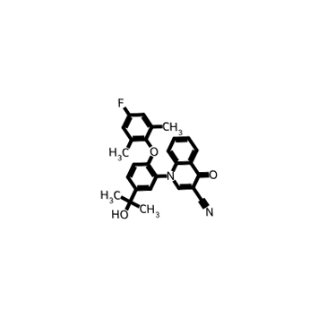 Cc1cc(F)cc(C)c1Oc1ccc(C(C)(C)O)cc1-n1cc(C#N)c(=O)c2ccccc21